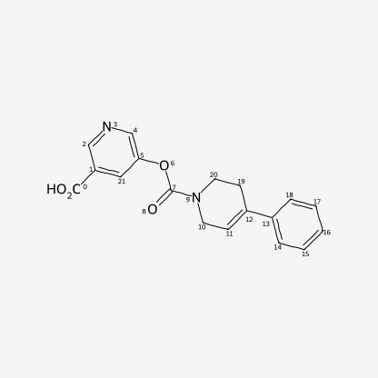 O=C(O)c1cncc(OC(=O)N2CC=C(c3ccccc3)CC2)c1